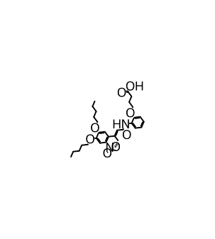 CCCCCOc1cc(C(C)=CC(=O)Nc2ccccc2OCCCC(=O)O)c([N+](=O)[O-])cc1OCCCCC